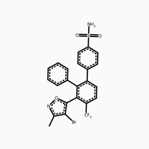 Cc1noc(-c2c(C(F)(F)F)ccc(-c3ccc(S(N)(=O)=O)cc3)c2-c2ccccc2)c1Br